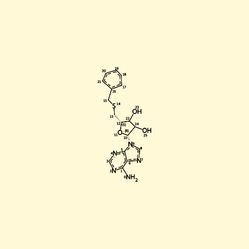 Nc1ncnc2c1ncn2[C@@H]1O[C@H](CSCc2ccccc2)C(O)C1O